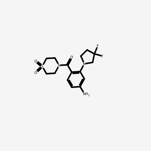 Nc1ccc(C(=O)N2CCS(=O)(=O)CC2)c(N2CCC(F)(F)C2)c1